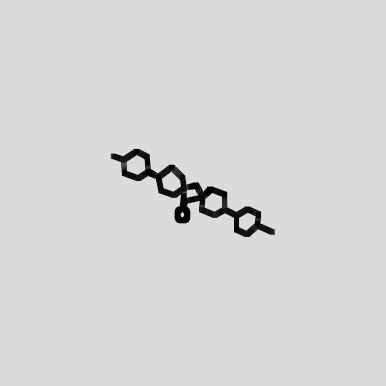 CC1CCC(C2CC[C@]3(CC2)C[C@@]2(CC[C@H](C4CCC(C)CC4)CC2)C3=O)CC1